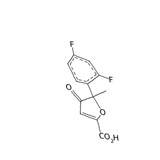 CC1(c2ccc(F)cc2F)OC(C(=O)O)=CC1=O